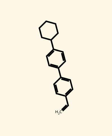 C=Cc1ccc(-c2ccc(C3CCCCC3)cc2)cc1